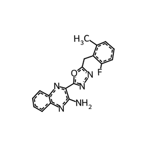 Cc1cccc(F)c1Cc1nnc(-c2nc3ccccc3nc2N)o1